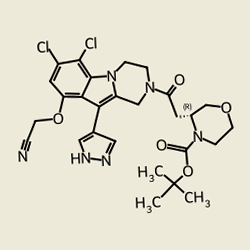 CC(C)(C)OC(=O)N1CCOC[C@H]1CC(=O)N1CCn2c(c(-c3cn[nH]c3)c3c(OCC#N)cc(Cl)c(Cl)c32)C1